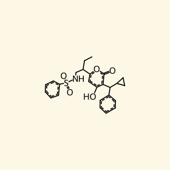 CCC(CNS(=O)(=O)c1ccccc1)c1cc(O)c(C(c2ccccc2)C2CC2)c(=O)o1